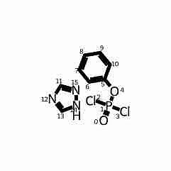 O=P(Cl)(Cl)Oc1ccccc1.c1nc[nH]n1